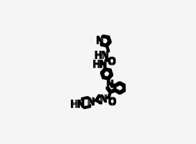 O=C(NCc1cccnc1)Nc1ccc(-n2cc(C(=O)N3CC(N4CCNCC4)C3)c3ccccc32)cc1